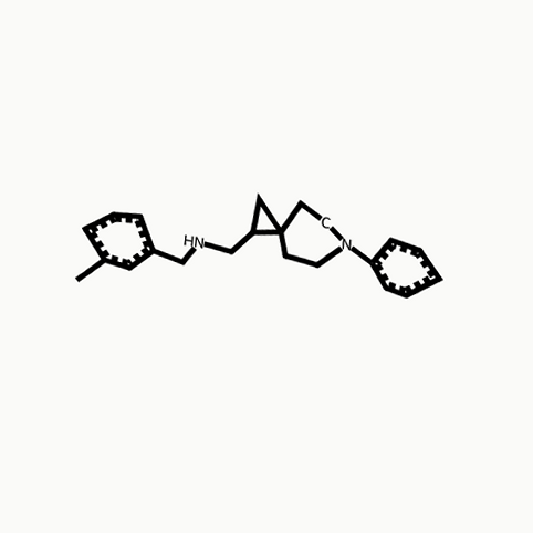 Cc1cccc(CNCC2CC23CCN(c2ccccc2)CC3)c1